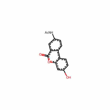 CC(=O)Nc1ccc2c(c1)c(=O)oc1cc(O)ccc12